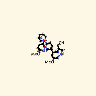 COc1cc(-c2ccc(N3CC4CC(C3)N4Cc3ccc(OC)nc3)nc2)c2c(CC#N)cnn2c1